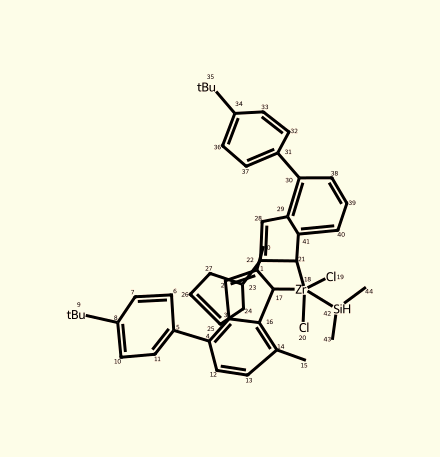 CC1=Cc2c(-c3ccc(C(C)(C)C)cc3)ccc(C)c2[CH]1[Zr]([Cl])([Cl])([CH]1C(C2CC=CC2)=Cc2c(-c3ccc(C(C)(C)C)cc3)cccc21)[SiH](C)C